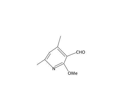 COc1nc(C)cc(C)c1C=O